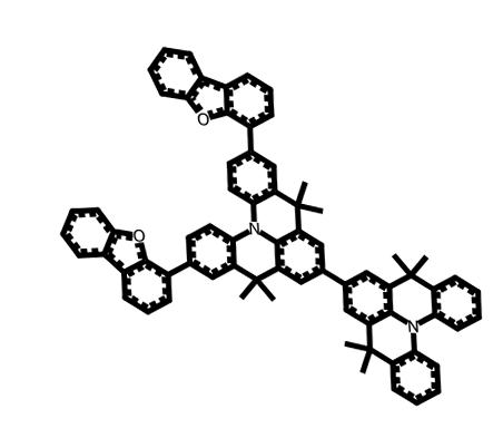 CC1(C)c2ccccc2N2c3ccccc3C(C)(C)c3cc(-c4cc5c6c(c4)C(C)(C)c4cc(-c7cccc8c7oc7ccccc78)ccc4N6c4ccc(-c6cccc7c6oc6ccccc67)cc4C5(C)C)cc1c32